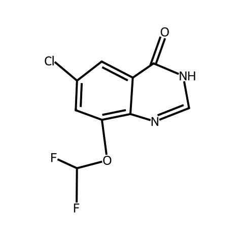 O=c1[nH]cnc2c(OC(F)F)cc(Cl)cc12